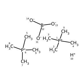 C[P+](C)(C)C.C[P+](C)(C)C.[H+].[O-]B([O-])[O-]